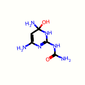 NC(=O)NC1=NC(N)=CC(N)(O)N1